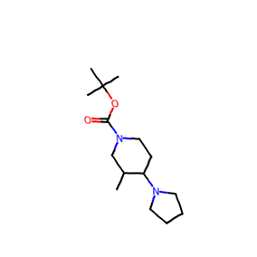 CC1CN(C(=O)OC(C)(C)C)CCC1N1CCCC1